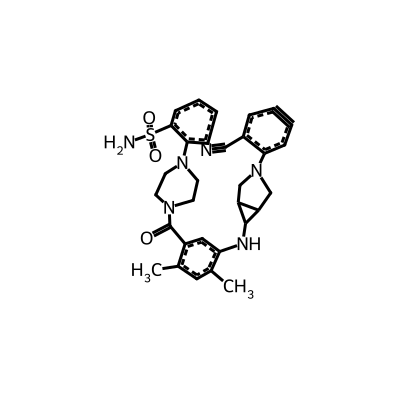 Cc1cc(C)c(C(=O)N2CCN(c3ccccc3S(N)(=O)=O)CC2)cc1NC1C2CN(c3cc#ccc3C#N)CC21